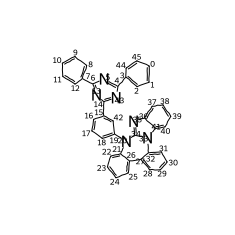 c1ccc(-c2nc(-c3ccccc3)nc(-c3cccc(N4c5ccccc5-c5ccccc5-n5c4nc4ccccc45)c3)n2)cc1